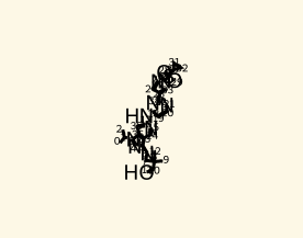 CC(C)n1nc(N2CC(C)(CO)C2)c2cnc(Nc3ccnc(-c4cnn(S(=O)(=O)C5CC5)c4)n3)cc21